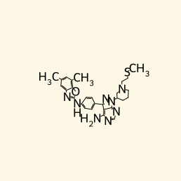 CSCCN1CCC[C@@H](n2nc(-c3ccc(Nc4nc5cc(C)cc(C)c5o4)cc3)c3c(N)ncnc32)C1